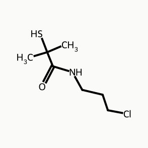 CC(C)(S)C(=O)NCCCCl